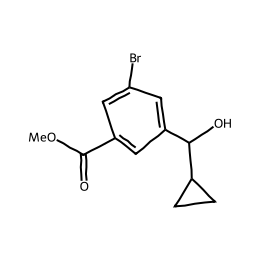 COC(=O)c1cc(Br)cc(C(O)C2CC2)c1